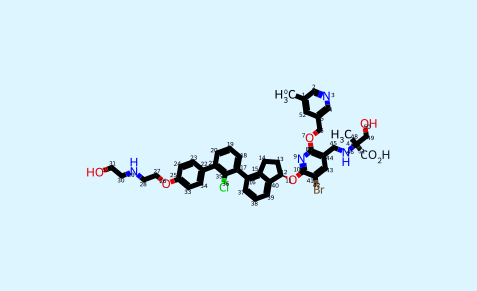 Cc1cncc(COc2nc(O[C@H]3CCc4c(-c5cccc(-c6ccc(OCCNCCO)cc6)c5Cl)cccc43)c(Br)cc2CNC(C)(CO)C(=O)O)c1